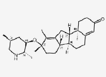 CC1=C2C[C@H]3[C@@H](CCC4=CC(=O)CC[C@@]43C)[C@@H]2CC[C@]1(C)O[C@@H]1C[C@H](C)CN[C@H]1C